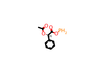 CC(=O)O[C@H](C(=O)OP)c1ccccc1